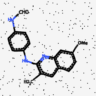 COc1ccc2cc(C(=O)O)c(Nc3ccc(NC=O)cc3)nc2c1